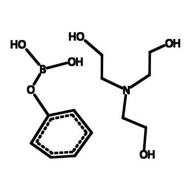 OB(O)Oc1ccccc1.OCCN(CCO)CCO